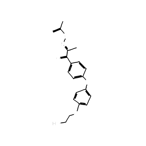 C=C(C)O/N=C(\C)C(=O)c1ccc(Sc2ccc(OCCO)cc2)cc1